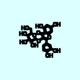 O=c1c(OC2OC(CO)C(O)C(O)[C@H]2O)c(-c2ccc(O)c(O)c2)oc2cc(O)cc(O)c12